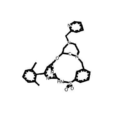 Cc1cccc(C)c1-c1cc2nc(n1)NS(=O)(=O)c1cccc(c1)CN1CCN(Cc3ccccn3)CC(C1)O2